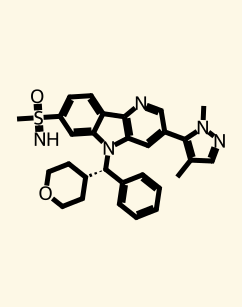 Cc1cnn(C)c1-c1cnc2c3ccc(S(C)(=N)=O)cc3n([C@H](c3ccccc3)C3CCOCC3)c2c1